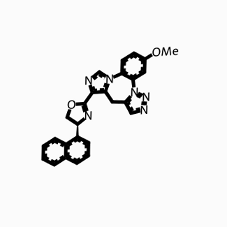 COc1ccc2c(c1)-n1nncc1Cc1c(C3=N[C@@H](c4cccc5ccccc45)CO3)ncn1-2